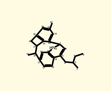 CCC(C)CC1=CC2Nc3cc(ccc31)C(C)C1Cc3cc(C)cc2c31